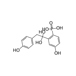 O=P(O)(O)c1ccc(O)cc1C(O)(O)Cc1ccc(O)cc1